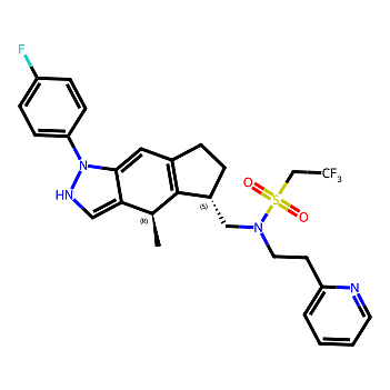 C[C@H]1C2=CNN(c3ccc(F)cc3)C2=CC2=C1[C@@H](CN(CCc1ccccn1)S(=O)(=O)CC(F)(F)F)CC2